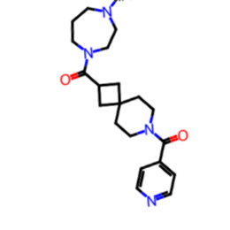 CC(C)N1CCCN(C(=O)C2CC3(CCN(C(=O)c4ccncc4)CC3)C2)CC1